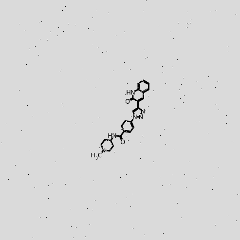 CN1CCC(NC(=O)C2=CC=C(n3cc(-c4cc5ccccc5[nH]c4=O)nn3)CC2)CC1